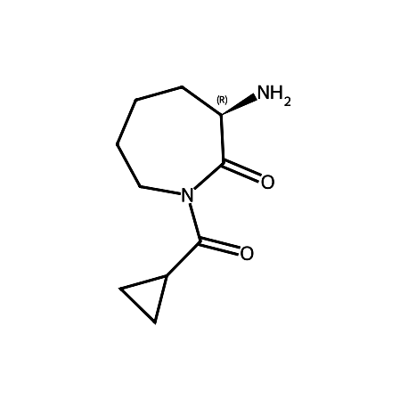 N[C@@H]1CCCCN(C(=O)C2CC2)C1=O